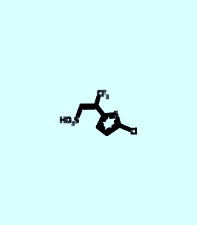 O=S(=O)(O)/C=C(\c1ccc(Cl)s1)C(F)(F)F